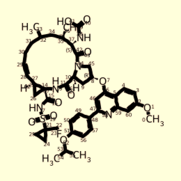 COc1ccc2c(O[C@@H]3C[C@H]4C(=O)N[C@]5(C(=O)NS(=O)(=O)C6(CF)CC6)C[C@H]5C=CCCC(C)C[C@@H](C)[C@H](NC(=O)O)C(=O)N4C3)cc(-c3ccc(OC(C)C)cc3)nc2c1